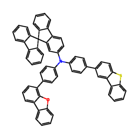 c1ccc2c(c1)-c1ccccc1C21c2ccccc2-c2ccc(N(c3ccc(-c4ccc5sc6ccccc6c5c4)cc3)c3ccc(-c4cccc5c4oc4ccccc45)cc3)cc21